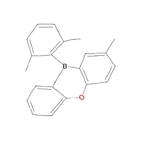 Cc1ccc2c(c1)B(c1c(C)cccc1C)c1ccccc1O2